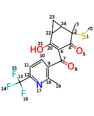 CSC1(C)C(=O)C(C(=O)c2ccc(C(F)(F)F)nc2C)=C(O)C2CC21